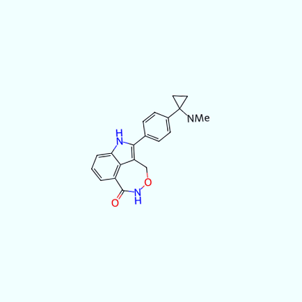 CNC1(c2ccc(-c3[nH]c4cccc5c4c3CONC5=O)cc2)CC1